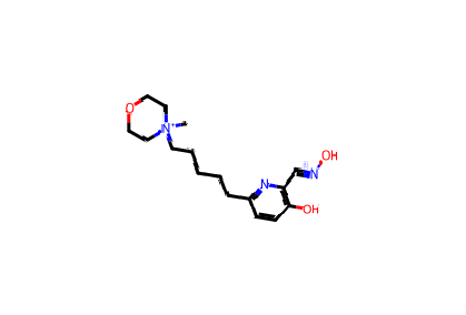 C[N+]1(CCCCCc2ccc(O)c(/C=N/O)n2)CCOCC1